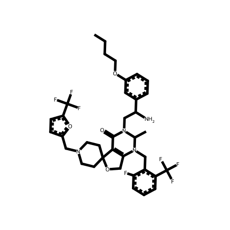 CCCCOc1cccc(C(N)CN2C(=O)C3=C(COC34CCN(Cc3ccc(C(F)(F)F)o3)CC4)N(Cc3c(F)cccc3C(F)(F)F)C2C)c1